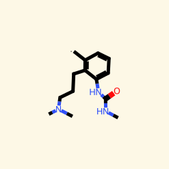 [CH2]c1cccc(NC(=O)NC)c1CCCN(C)C